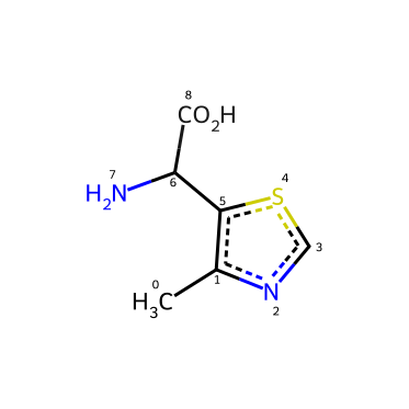 Cc1ncsc1C(N)C(=O)O